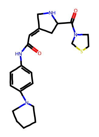 O=C(C=C1CNC(C(=O)N2CCSC2)C1)Nc1ccc(N2CCCCC2)cc1